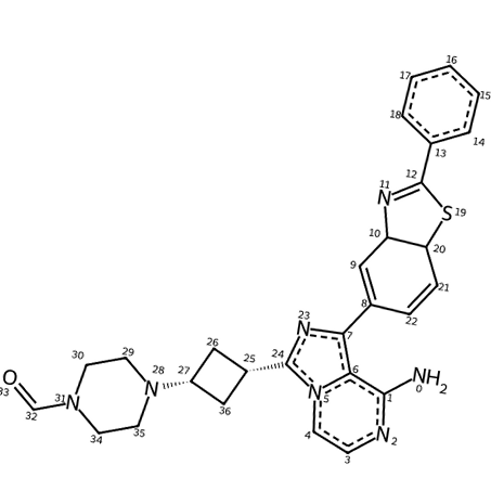 Nc1nccn2c1c(C1=CC3N=C(c4ccccc4)SC3C=C1)nc2[C@H]1C[C@@H](N2CCN(C=O)CC2)C1